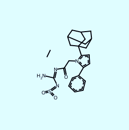 CC.NC(=NC(=O)Cn1c(-c2ccccc2)ccc1C12CC3CC(CC(C3)C1)C2)N=S(=O)=O